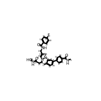 CNC(=O)c1ccc(-c2ccc(C[C@H](CC(=O)NO)n3cc(CNC(=O)c4ccc(F)cc4)nn3)cc2)cc1